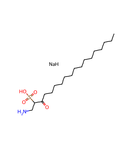 CCCCCCCCCCCCCCCC(=O)C(CN)S(=O)(=O)O.[NaH]